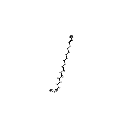 CCC=CCCCCCCCC=CC=CCCCCC(=O)O